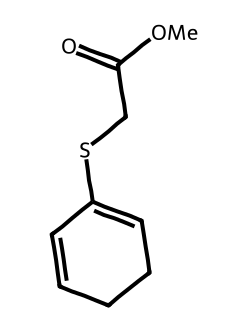 COC(=O)CSC1=CCCC=C1